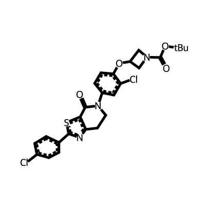 CC(C)(C)OC(=O)N1CC(Oc2ccc(N3CCc4nc(-c5ccc(Cl)cc5)sc4C3=O)cc2Cl)C1